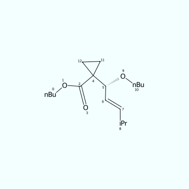 CCCCOC(=O)C1([C@@H](/C=C/C(C)C)OCCCC)CC1